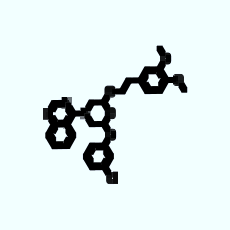 COc1ccc(CCOC2CN(c3ncnc4ccccc34)CC(Oc3cccc(Cl)c3)O2)cc1OC